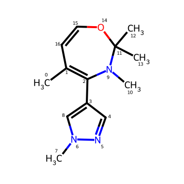 CC1=C(c2cnn(C)c2)N(C)C(C)(C)OC=C1